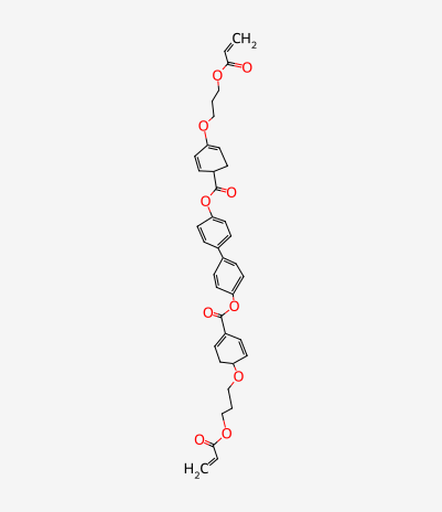 C=CC(=O)OCCCOC1=CCC(C(=O)Oc2ccc(-c3ccc(OC(=O)C4=CCC(OCCCOC(=O)C=C)C=C4)cc3)cc2)C=C1